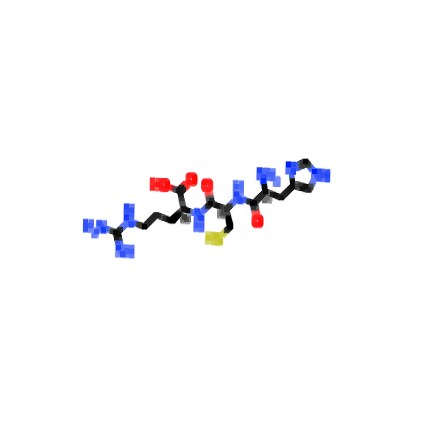 N=C(N)NCCC[C@H](NC(=O)[C@H](CS)NC(=O)[C@@H](N)Cc1c[nH]cn1)C(=O)O